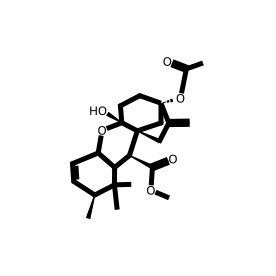 C=C1C[C@]23C[C@@]1(OC(C)=O)CC[C@@]2(O)OC1C=C[C@H](C)C(C)(C)C1[C@@H]3C(=O)OC